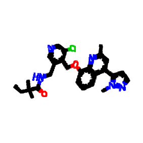 CCC(C)(C)C(=O)NCc1cncc(Cl)c1COc1cccc2c(-c3ccnn3C)cc(C)nc12